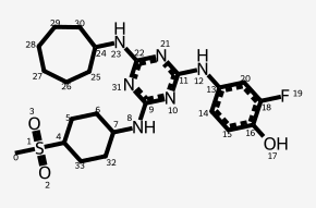 CS(=O)(=O)C1CCC(Nc2nc(Nc3ccc(O)c(F)c3)nc(NC3CCCCCC3)n2)CC1